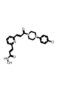 O=C(/C=C/c1cccc(/C=C/C(=O)N2CCN(c3ccc(Cl)cc3)CC2)n1)NO